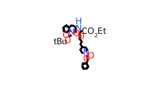 CCOC(=O)[C@H](COCCCC1CCN(C(=O)OCc2ccccc2)CC1)NC1CCc2ccccc2N(CC(=O)OC(C)(C)C)C1=O